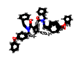 O=C(O)[C@@H]1[C@@H](C(=O)O)[C@@H](C(=O)N(Cc2ccccc2)Cc2ccc(Oc3ccccc3)cc2)[C@@H]1C(=O)N(Cc1ccccc1)Cc1ccc(Oc2ccccc2)cc1